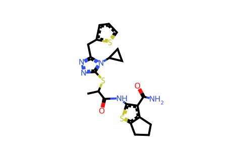 CC(Sc1nnc(Cc2cccs2)n1C1CC1)C(=O)Nc1sc2c(c1C(N)=O)CCC2